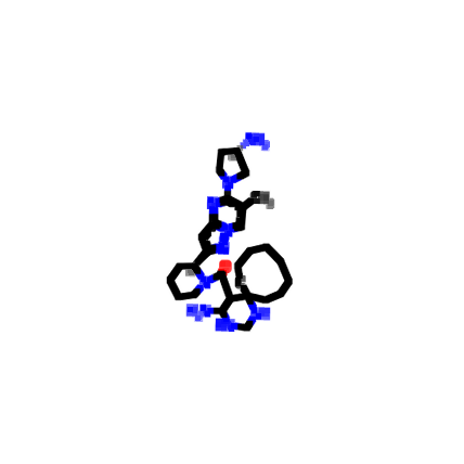 Cc1cn2nc([C@@H]3CCCCN3C(=O)C3C(N)NCNC34CCCCCCCC4)cc2nc1N1CC[C@H](N)C1